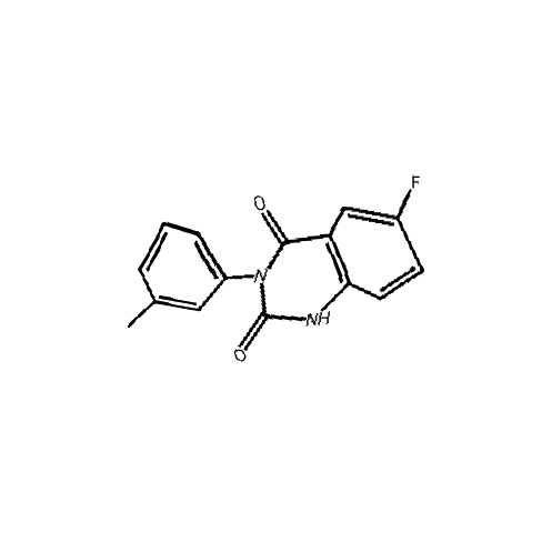 Cc1cccc(-n2c(=O)[nH]c3ccc(F)cc3c2=O)c1